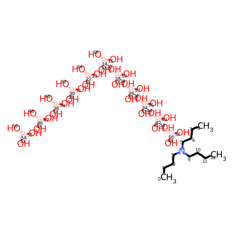 CCCCN(CCCC)CCCC.OB(O)O.OB(O)O.OB(O)O.OB(O)O.OB(O)O.OB(O)O.OB(O)O.OB(O)O.OB(O)O.OB(O)O.OB(O)O